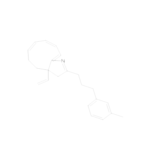 C=CC12CC\C=C/C=C\C=C\1N=C(CCCc1cccc(C)c1)C2